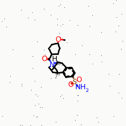 COC1CCC(C(=O)N2CC[C@]3(C)c4cc(S(N)(=O)=O)ccc4C[C@H]2C3(C)C)CC1